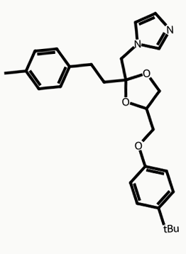 Cc1ccc(CCC2(Cn3ccnc3)OCC(COc3ccc(C(C)(C)C)cc3)O2)cc1